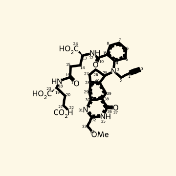 C#CCN(c1ccccc1C(=O)N[C@@H](CCC(=O)N[C@H](CCC(=O)O)C(=O)O)C(=O)O)C1CCc2cc3nc(COC)[nH]c(=O)c3cc21